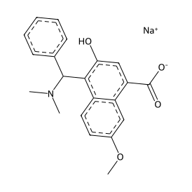 COc1ccc2c(C(c3ccccc3)N(C)C)c(O)cc(C(=O)[O-])c2c1.[Na+]